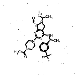 CC(=O)N1CCN(c2nc(NC(C)c3cccc(C(F)(F)F)c3)c3c(n2)[C@H](C=O)N(C(C)C)C3)CC1